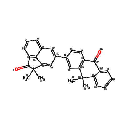 CC1(C)C(=O)c2cccc3cc(-c4ccc5c(c4)C(C)(C)c4ccccc4C5=O)cc1c23